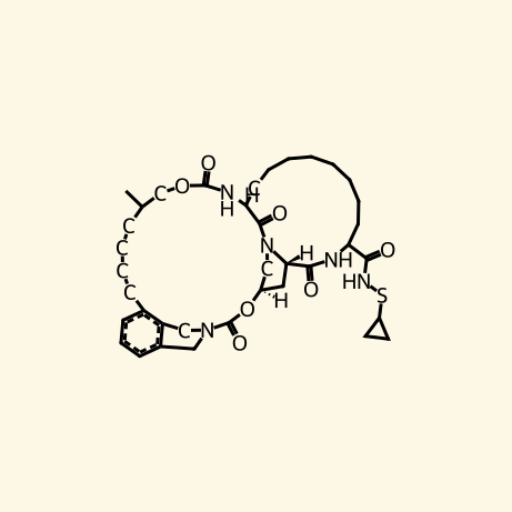 CC1CCCCc2cccc3c2CN(C3)C(=O)O[C@@H]2C[C@H]3C(=O)NC(C(=O)NSC4CC4)CCCCCCCC[C@H](NC(=O)OC1)C(=O)N3C2